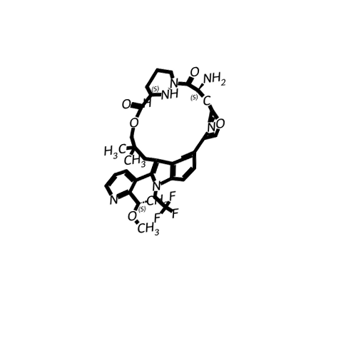 CO[C@@H](C)c1ncccc1-c1c2c3cc(ccc3n1CC(F)(F)F)-c1coc(n1)C[C@H](N)C(=O)N1CCC[C@H](N1)C(=O)OCC(C)(C)C2